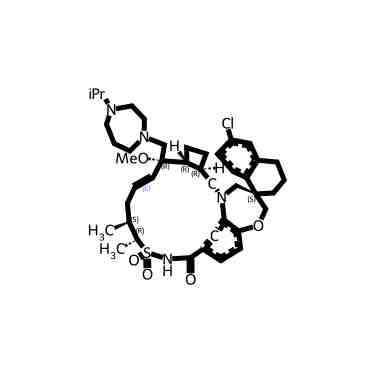 CO[C@@]1(CN2CCCN(C(C)C)CC2)/C=C/C[C@H](C)[C@@H](C)S(=O)(=O)NC(=O)c2ccc3c(c2)N(C[C@@H]2CC[C@H]21)C[C@@]1(CCCc2cc(Cl)ccc21)CO3